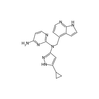 Nc1ccnc(N(Cc2ccnc3[nH]ccc23)c2cc(C3CC3)[nH]n2)n1